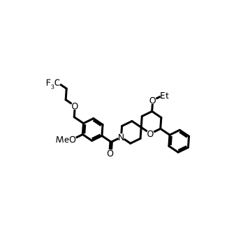 CCOC1CC(c2ccccc2)OC2(CCN(C(=O)c3ccc(COCCC(F)(F)F)c(OC)c3)CC2)C1